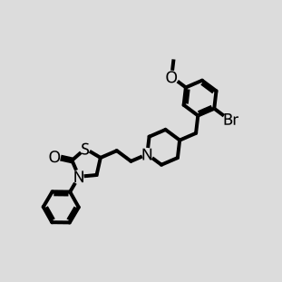 COc1ccc(Br)c(CC2CCN(CCC3CN(c4ccccc4)C(=O)S3)CC2)c1